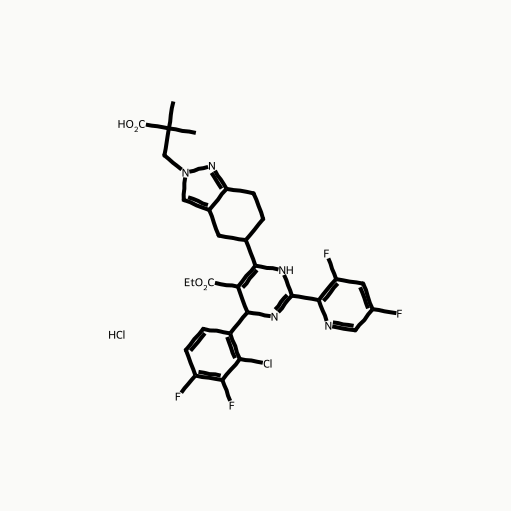 CCOC(=O)C1=C(C2CCc3nn(CC(C)(C)C(=O)O)cc3C2)NC(c2ncc(F)cc2F)=NC1c1ccc(F)c(F)c1Cl.Cl